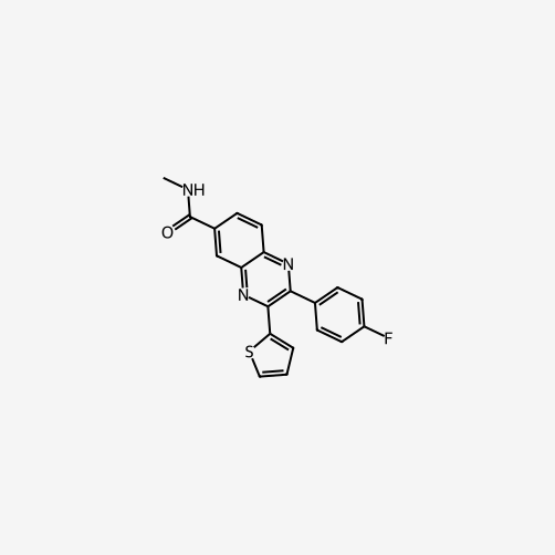 CNC(=O)c1ccc2nc(-c3ccc(F)cc3)c(-c3cccs3)nc2c1